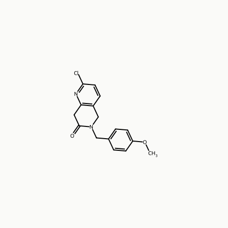 COc1ccc(CN2Cc3ccc(Cl)nc3CC2=O)cc1